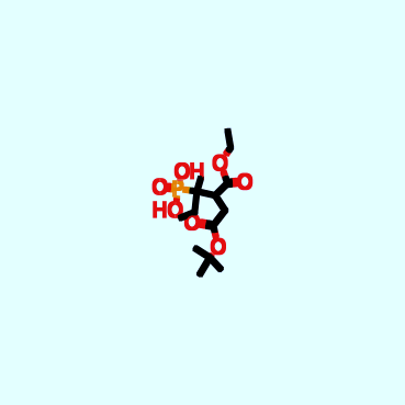 CCOC(=O)C(CC(=O)OC(C)(C)C)C(C)(CC)P(=O)(O)O